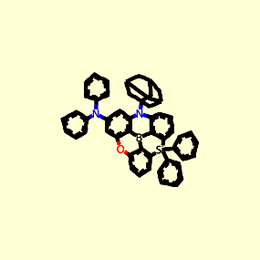 c1ccc(N(c2ccccc2)c2cc3c4c(c2)N(C25CC6CC(CC(C6)C2)C5)c2cccc5c2B4c2c(cccc2[Si]5(c2ccccc2)c2ccccc2)O3)cc1